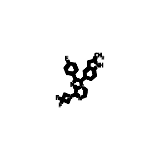 C=C1CC2=CC(C3C(c4ccc(F)cc4)N=C4C(N5CC(F)(F)C5)=NC=CN43)CC=C2N1